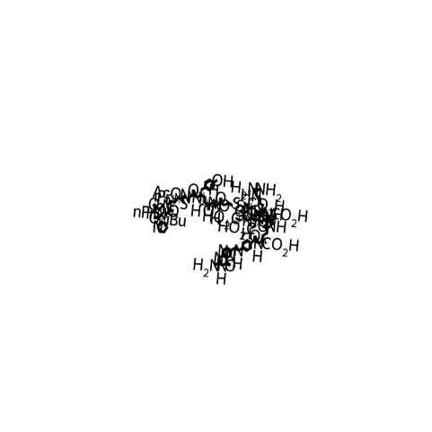 CCCC(=O)OCN(C(=O)[C@@H](NC(=O)[C@H]1CCCCN1C)C(C)CC)[C@H](C[C@@H](OC(C)=O)c1nc(C(=O)N[C@@H](Cc2ccc(O)cc2)C[C@H](C)C(=O)NNC(=O)OCCSSC[C@@H](NC(=O)[C@H](CC(=O)O)NC(=O)[C@H](CC(=O)O)NC(=O)[C@H](CCCNC(N)N)NC(=O)[C@H](CC(=O)O)NC(=O)CC[C@H](NC(=O)c2ccc(NCc3cnc4nc(N)[nH]c(=O)c4n3)cc2)C(=O)O)C(=O)O)cs1)C(C)C